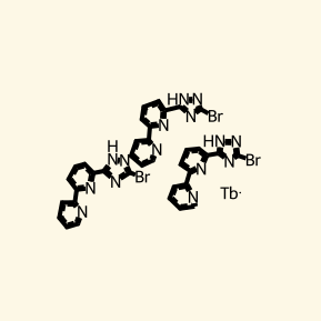 Brc1n[nH]c(-c2cccc(-c3ccccn3)n2)n1.Brc1n[nH]c(-c2cccc(-c3ccccn3)n2)n1.Brc1n[nH]c(-c2cccc(-c3ccccn3)n2)n1.[Tb]